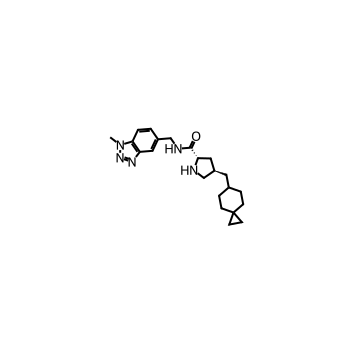 Cn1nnc2cc(CNC(=O)[C@@H]3C[C@@H](CC4CCC5(CC4)CC5)CN3)ccc21